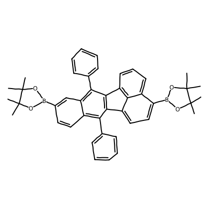 CC1(C)OB(c2ccc3c(-c4ccccc4)c4c(c(-c5ccccc5)c3c2)-c2cccc3c(B5OC(C)(C)C(C)(C)O5)ccc-4c23)OC1(C)C